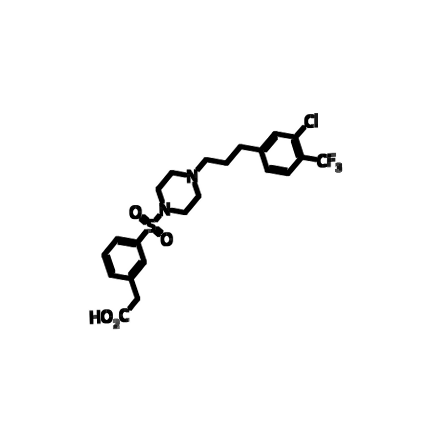 O=C(O)Cc1cccc(S(=O)(=O)N2CCN(CCCc3ccc(C(F)(F)F)c(Cl)c3)CC2)c1